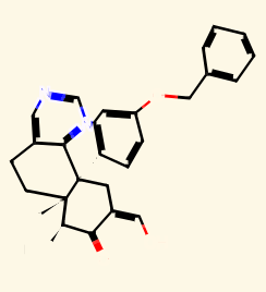 C[C@@H]1C(=O)/C(=C\O)C[C@]2(c3ccc(OCc4ccccc4)cc3)c3ncncc3CC[C@@H]12